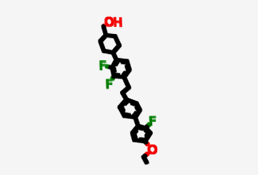 CCOc1ccc(-c2ccc(CCc3ccc(C4CCC(CO)CC4)c(F)c3F)cc2)c(F)c1